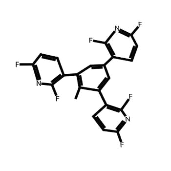 Cc1c(-c2ccc(F)nc2F)cc(-c2ccc(F)nc2F)cc1-c1ccc(F)nc1F